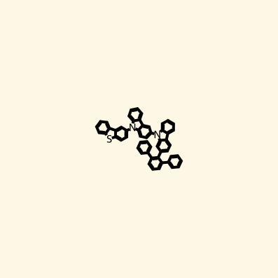 c1ccc(-c2cccc(-c3ccccc3)c2-c2ccc3c4ccccc4n(-c4ccc5c(c4)c4ccccc4n5-c4ccc5sc6ccccc6c5c4)c3c2)cc1